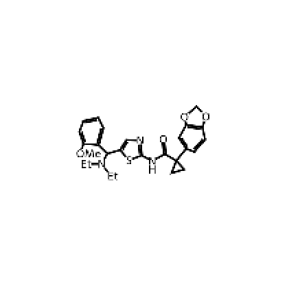 CCN(CC)C(c1cnc(NC(=O)C2(c3ccc4c(c3)OCO4)CC2)s1)c1ccccc1OC